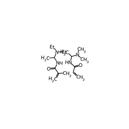 C=C(C)C(=O)NC(C)N(CC)CC.C=CC(=O)NC(C)N(C)C